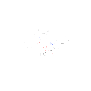 COC(=O)[C@@H](Cc1ccccc1)NC(=O)c1cc(C)c(C)n(CC2CCCCC2)c1=O